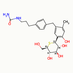 Cc1cc(O)c([C@@H]2S[C@H](CO)[C@@H](O)[C@H](O)[C@H]2O)cc1Cc1ccc(CCCNC(N)=O)cc1